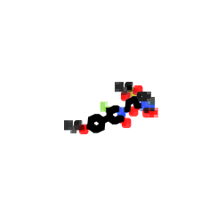 COc1ccc(-c2cc(=O)n(CC[C@](C)(C(=O)NO)S(C)(=O)=O)cc2F)cc1